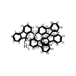 CC1(C)c2ccccc2-c2cccc(N(c3ccc4c(c3)C3(c5ccccc5-c5ccccc53)c3ccccc3-4)c3cccc4c3oc3ccccc34)c21